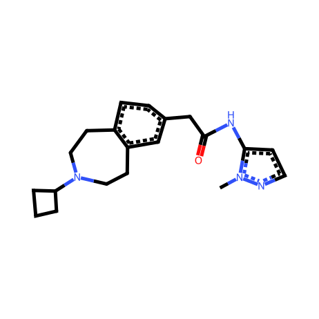 Cn1nccc1NC(=O)Cc1ccc2c(c1)CCN(C1CCC1)CC2